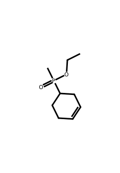 CCOP(C)(=O)C1CC=CCC1